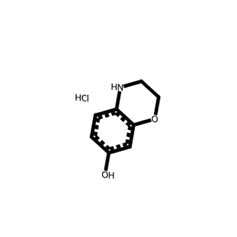 Cl.Oc1ccc2c(c1)OCCN2